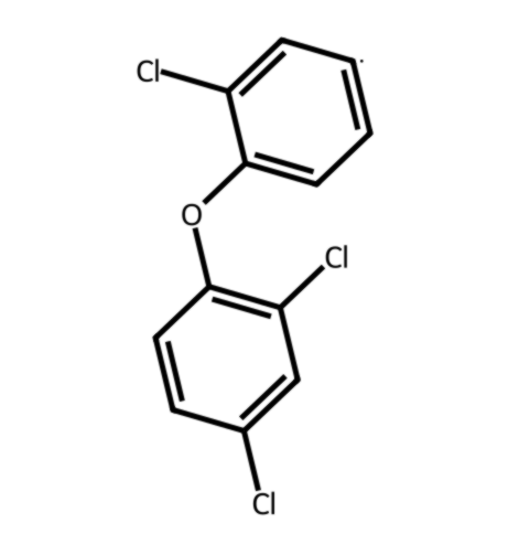 Clc1ccc(Oc2cc[c]cc2Cl)c(Cl)c1